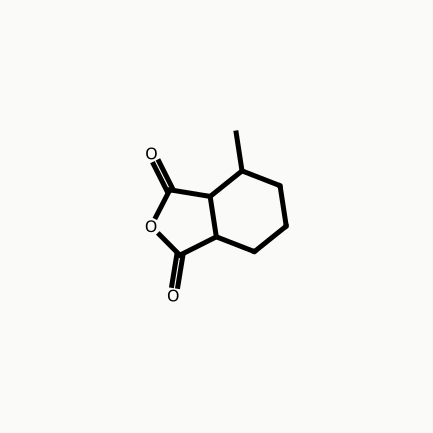 CC1CCCC2C(=O)OC(=O)C12